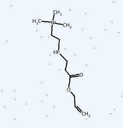 C=CCOC(=O)CCPCC[N+](C)(C)C